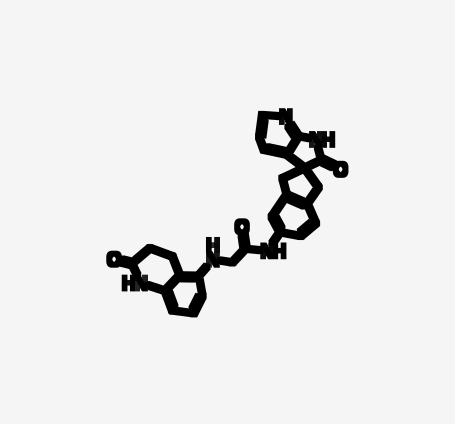 O=C(CNc1cccc2c1CCC(=O)N2)Nc1ccc2c(c1)CC1(C2)C(=O)Nc2ncccc21